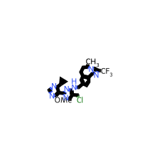 COc1ncnc(C2CC2)c1-c1ncc(CCl)c(NCc2ccc3c(c2)CCC(C)n2cc(C(F)(F)F)nc2-3)n1